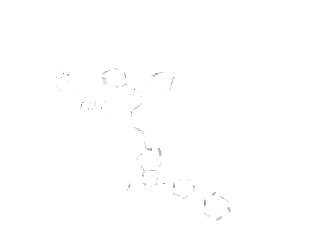 C/C=C\CC(N)c1cccc(N2C3=CCC(c4ccc5c(c4)c4c(n5-c5ccc(-c6ccccc6)cc5)CCC=C4)CC3C3C=CC=CC32)c1